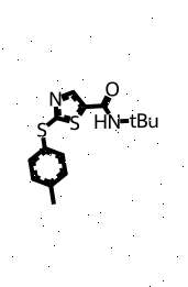 Cc1ccc(Sc2ncc(C(=O)NC(C)(C)C)s2)cc1